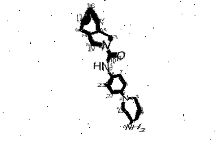 NC1CCN(c2ccc(NC(=O)N3Cc4ccccc4C3)cc2)C1